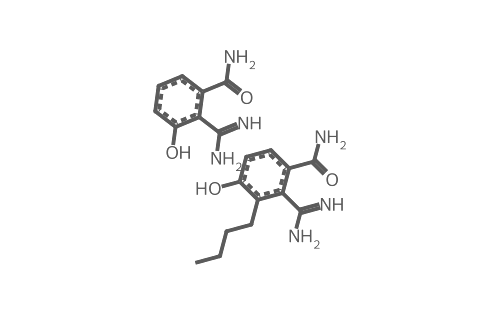 CCCCc1c(O)ccc(C(N)=O)c1C(=N)N.N=C(N)c1c(O)cccc1C(N)=O